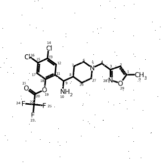 Cc1cc(CN2CCC(C(N)c3cc(Cl)c(Cl)cc3OC(=O)C(F)(F)F)CC2)no1